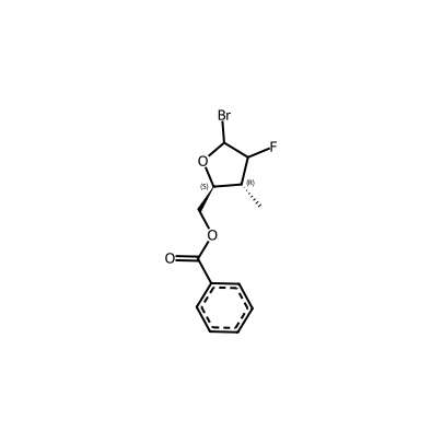 C[C@H]1C(F)C(Br)O[C@@H]1COC(=O)c1ccccc1